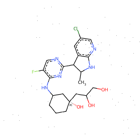 CC1Nc2ncc(Cl)cc2C1c1ncc(F)c(NC2CCC[C@](O)(CC(O)CO)C2)n1